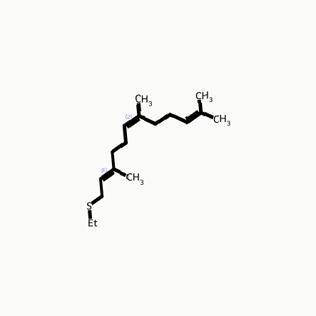 CCSC/C=C(\C)CC/C=C(/C)CCC=C(C)C